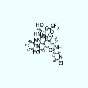 Cc1ccc(NC(=O)c2ccc(Cl)nc2)cc1-c1nc(NC(CO)COC(=O)C(F)(F)F)nc2c1ccc(=O)n2-c1c(F)cccc1F